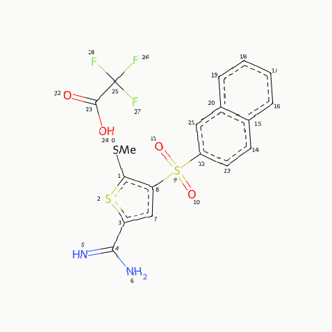 CSc1sc(C(=N)N)cc1S(=O)(=O)c1ccc2ccccc2c1.O=C(O)C(F)(F)F